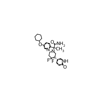 CC(C(N)=O)(c1ccc(OC2CCCCC2)cn1)N1CCC(F)(F)[C@@H](c2ccc(=O)[nH]c2)C1